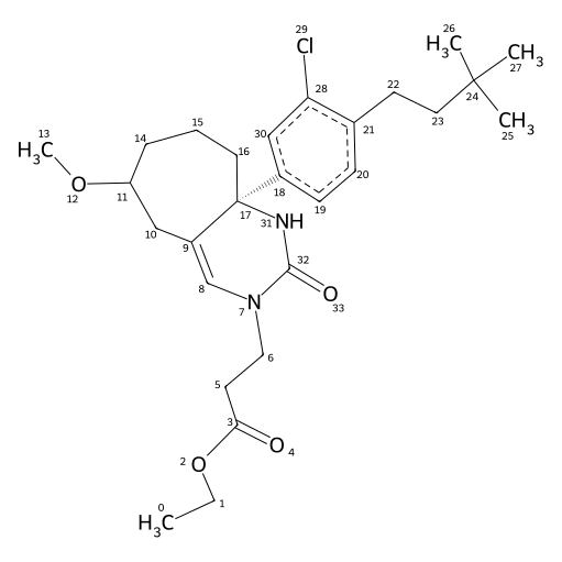 CCOC(=O)CCN1C=C2CC(OC)CCC[C@@]2(c2ccc(CCC(C)(C)C)c(Cl)c2)NC1=O